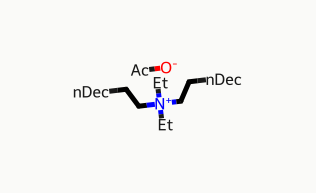 CC(=O)[O-].CCCCCCCCCCCC[N+](CC)(CC)CCCCCCCCCCCC